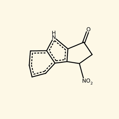 O=C1CC([N+](=O)[O-])c2c1[nH]c1ccccc21